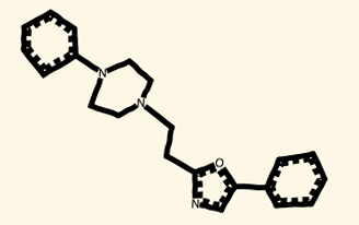 c1ccc(-c2cnc(CCN3CCN(c4ccccc4)CC3)o2)cc1